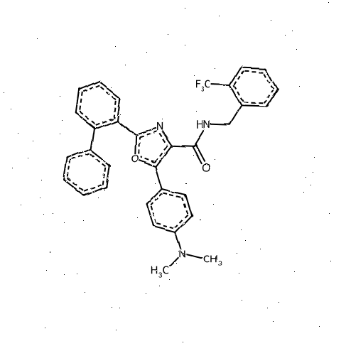 CN(C)c1ccc(-c2oc(-c3ccccc3-c3ccccc3)nc2C(=O)NCc2ccccc2C(F)(F)F)cc1